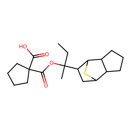 CCC(C)(OC(=O)C1(C(=O)O)CCCC1)C1CC2SC1C1CCCC21